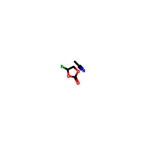 CC#N.O=C1OCC(F)O1